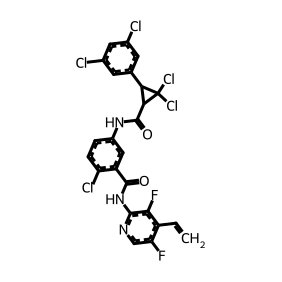 C=Cc1c(F)cnc(NC(=O)c2cc(NC(=O)C3C(c4cc(Cl)cc(Cl)c4)C3(Cl)Cl)ccc2Cl)c1F